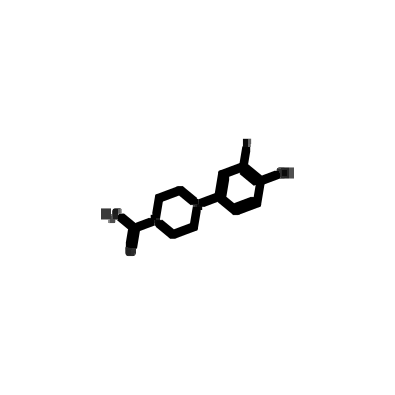 CC(=O)N1CCN(c2ccc(O)c(F)c2)CC1